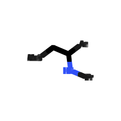 CSCC(NC(C)C)C(C)=O